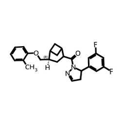 Cc1ccccc1OC[C@@H]1CC(C(=O)N2N=CCC2c2cc(F)cc(F)c2)C2CC1C2